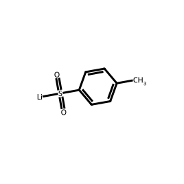 [Li][S](=O)(=O)c1ccc(C)cc1